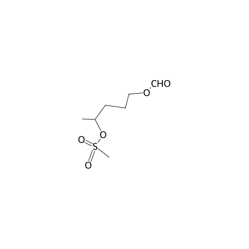 CC(CCCOC=O)OS(C)(=O)=O